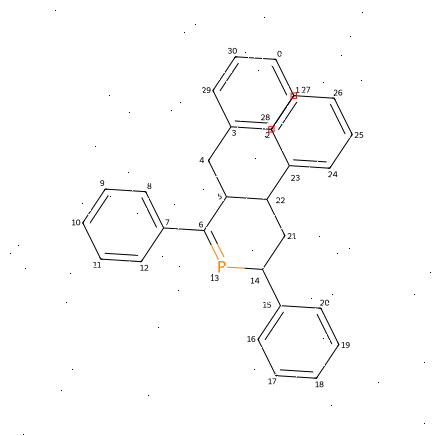 c1ccc(CC2C(c3ccccc3)=PC(c3ccccc3)CC2c2ccccc2)cc1